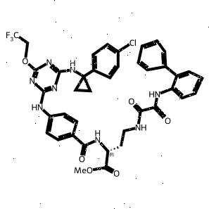 COC(=O)[C@@H](CCNC(=O)C(=O)Nc1ccccc1-c1ccccc1)NC(=O)c1ccc(Nc2nc(NC3(c4ccc(Cl)cc4)CC3)nc(OCC(F)(F)F)n2)cc1